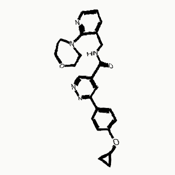 O=C(NCc1cccnc1N1CCOCC1)c1cnnc(-c2ccc(OC3CC3)cc2)c1